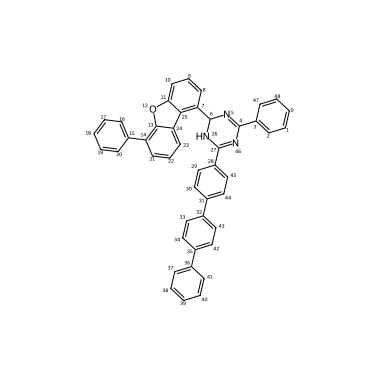 c1ccc(C2=NC(c3cccc4oc5c(-c6ccccc6)cccc5c34)NC(c3ccc(-c4ccc(-c5ccccc5)cc4)cc3)=N2)cc1